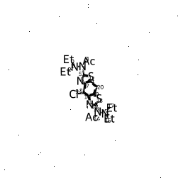 CCN(CC)N(C(C)=O)c1nc2c(Cl)c3nc(N(C(C)=O)N(CC)CC)sc3cc2s1